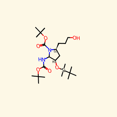 CC(C)(C)OC(=O)NC1[C@H](O[Si](C)(C)C(C)(C)C)C[C@H](CCCO)N1C(=O)OC(C)(C)C